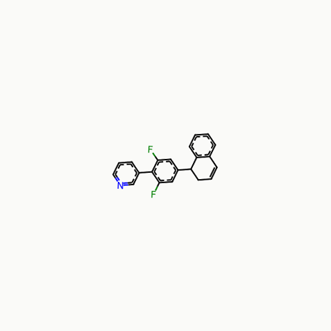 Fc1cc(C2CC=Cc3ccccc32)cc(F)c1-c1cccnc1